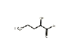 CC(=O)C(=O)C(O)CCC(=O)O